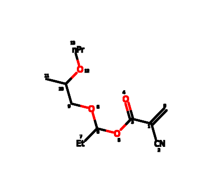 C=C(C#N)C(=O)OC(CC)OCC(C)OCCC